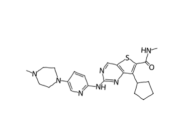 CNC(=O)c1sc2cnc(Nc3ccc(N4CCN(C)CC4)cn3)nc2c1C1CCCC1